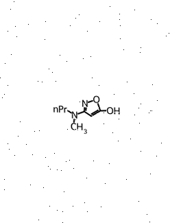 CCCN(C)c1cc(O)on1